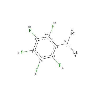 CC[C@H](c1c(F)c(F)c(F)c(F)c1F)C(C)C